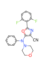 N#Cc1nc(-c2c(F)cccc2F)oc1N(c1ccccc1)N1CCOCC1